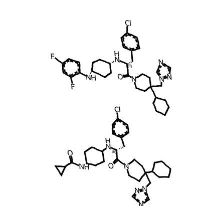 O=C(NC1CCC(N[C@H](Cc2ccc(Cl)cc2)C(=O)N2CCC(Cn3cncn3)(C3CCCCC3)CC2)CC1)C1CC1.O=C([C@@H](Cc1ccc(Cl)cc1)N[C@H]1CC[C@@H](Nc2ccc(F)cc2F)CC1)N1CCC(Cn2cncn2)(C2CCCCC2)CC1